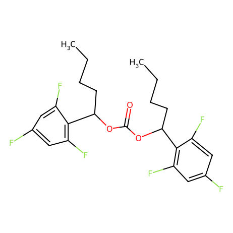 CCCCC(OC(=O)OC(CCCC)c1c(F)cc(F)cc1F)c1c(F)cc(F)cc1F